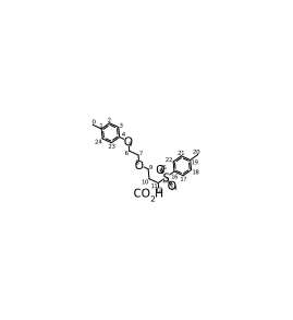 Cc1ccc(OCCOCCC(C(=O)O)S(=O)(=O)c2ccc(C)cc2)cc1